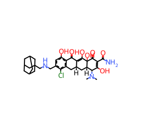 CN(C)[C@@H]1C(O)=C(C(N)=O)C(=O)[C@@]2(O)C(O)=C3C(=O)c4c(O)cc(CNCC56CC7CC(CC(C7)C5)C6)c(Cl)c4C[C@H]3C[C@@H]12